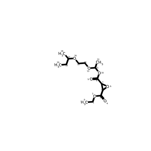 CCOC(=O)C1OC1C(=O)OC(C)OCCOC(C)CC